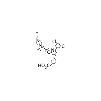 C=N/C(=N\C=C(/C)Oc1cc(CN2CCC(CC(=O)O)CC2)cc(-c2cc(Cl)cc(Cl)c2)n1)N1CCN(CCF)CC1